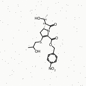 CC(O)CSC1=C(C(=O)OCc2ccc([N+](=O)[O-])cc2)N2C(=O)[C@@H]([C@@H](C)O)C2C1